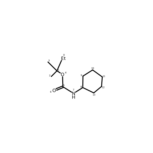 CCC(C)(C)OC(=O)NC1CCCCC1